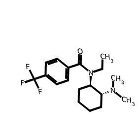 CCN(C(=O)c1ccc(C(F)(F)F)cc1)[C@@H]1CCCC[C@H]1N(C)C